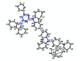 c1ccc(-c2nc(-n3c4ccccc4c4ccccc43)nc(-n3c4ccccc4c4cc(-c5ccc6c(c5)c5ccccc5n6-c5ccc6c(c5)C5(c7ccccc7-6)C6CC7CC(C6)CC5C7)ccc43)n2)cc1